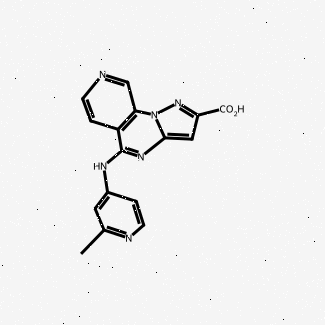 Cc1cc(Nc2nc3cc(C(=O)O)nn3c3cnccc23)ccn1